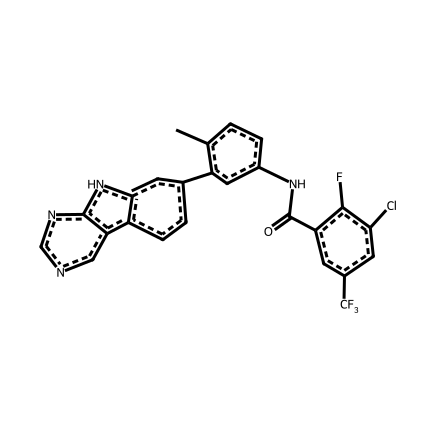 Cc1ccc(NC(=O)c2cc(C(F)(F)F)cc(Cl)c2F)cc1-c1ccc2c(c1)[nH]c1ncncc12